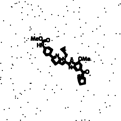 COC(=O)Nc1ccc(-c2ccc3cc(-c4nc5cc(C(=O)N6CC7CCC6[C@@H]7C)cc(OC)c5n4C)n(CC4CC4)c3n2)cc1